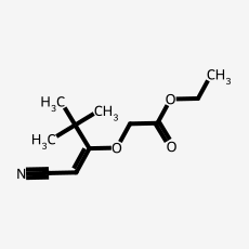 CCOC(=O)COC(=CC#N)C(C)(C)C